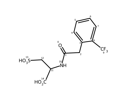 O=C(Cc1ccccc1C(F)(F)F)NC(CS(=O)(=O)O)C(=O)O